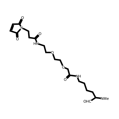 CNC(C=O)CCCCNC(=O)COCCOCCNC(=O)CCN1C(=O)C=CC1=O